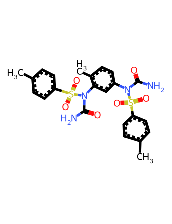 Cc1ccc(S(=O)(=O)N(C(N)=O)c2ccc(C)c(N(C(N)=O)S(=O)(=O)c3ccc(C)cc3)c2)cc1